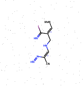 CN/C=C(/CN/C=C(/C#N)N=N)C(=N)I